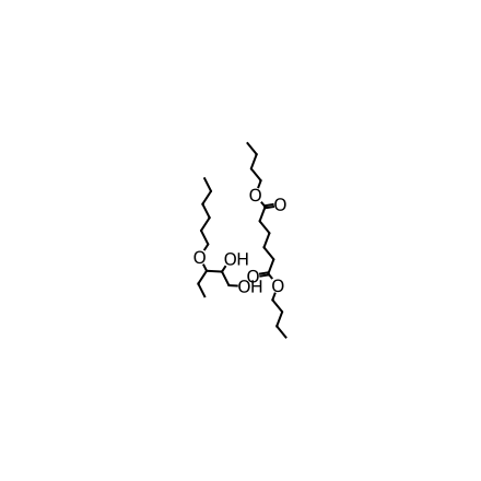 CCCCCCOC(CC)C(O)CO.CCCCOC(=O)CCCCC(=O)OCCCC